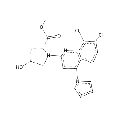 COC(=O)[C@H]1CC(O)CN1c1cc(-n2ccnc2)c2ccc(Cl)c(Cl)c2n1